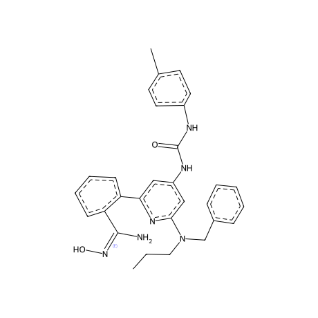 CCCN(Cc1ccccc1)c1cc(NC(=O)Nc2ccc(C)cc2)cc(-c2ccccc2/C(N)=N\O)n1